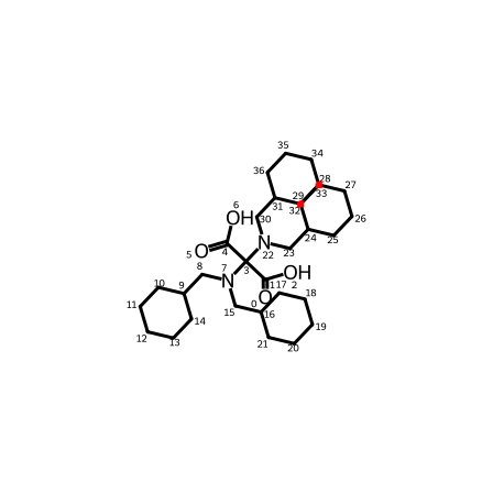 O=C(O)C(C(=O)O)(N(CC1CCCCC1)CC1CCCCC1)N(CC1CCCCC1)CC1CCCCC1